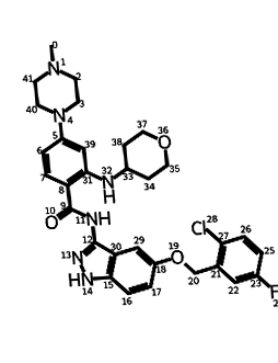 CN1CCN(c2ccc(C(=O)Nc3n[nH]c4ccc(OCc5cc(F)ccc5Cl)cc34)c(NC3CCOCC3)c2)CC1